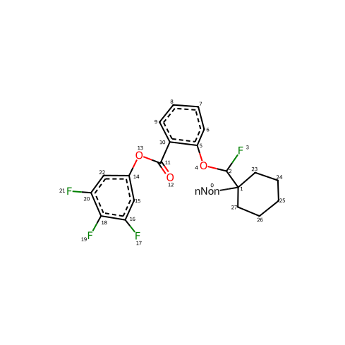 CCCCCCCCCC1(C(F)Oc2ccccc2C(=O)Oc2cc(F)c(F)c(F)c2)CCCCC1